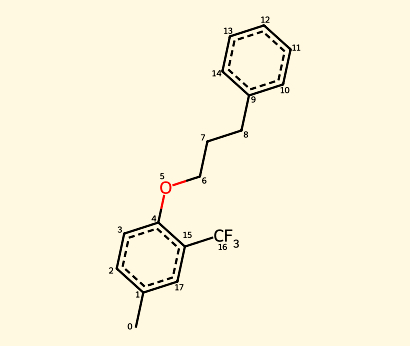 Cc1ccc(OCCCc2ccccc2)c(C(F)(F)F)c1